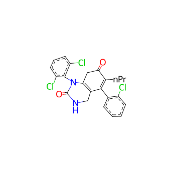 CCCC1=C(c2ccccc2Cl)C2=C(CC1=O)N(c1c(Cl)cccc1Cl)C(=O)NC2